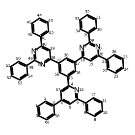 c1ccc(-c2cc(-c3ccccc3)nc(-c3cc(-c4cc(-c5ccccc5)nc(-c5ccccc5)n4)cc(-c4cc(-c5ccccc5)nc(-c5ccccc5)n4)c3)c2)cc1